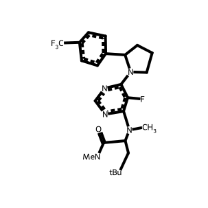 CNC(=O)C(CC(C)(C)C)N(C)c1ncnc(N2CCCC2c2ccc(C(F)(F)F)cc2)c1F